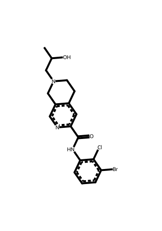 CC(O)CN1CCc2cc(C(=O)Nc3cccc(Br)c3Cl)ncc2C1